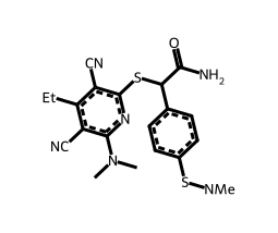 CCc1c(C#N)c(SC(C(N)=O)c2ccc(SNC)cc2)nc(N(C)C)c1C#N